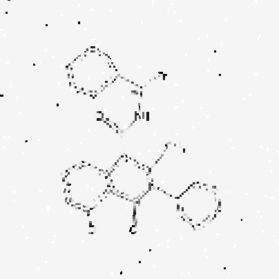 Cc1c(C(=O)N[C@H](c2ccccc2)C(C)C)c2cccc(Cl)c2c(=O)n1-c1ccccc1